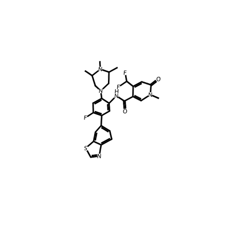 CC1CN(c2cc(F)c(-c3ccc4ncsc4c3)cc2NC(=O)c2cn(C)c(=O)cc2C(F)F)CC(C)N1C